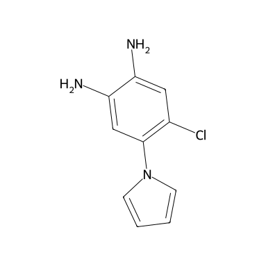 Nc1cc(Cl)c(-n2cccc2)cc1N